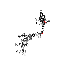 CC(=O)N[C@@H](CCCCNC(C)C)C(=O)NCC(=O)N[C@@H](CCC(=O)O)C(=O)Nc1ccc(COC(=O)NC23CC(Cc4ccc([C@@H]5O[C@@H]6C[C@H]7[C@@H]8CCC9=CC(=O)C=C[C@]9(C)[C@H]8[C@@H](O)C[C@]7(C)[C@]6(C(=O)CO)O5)cc4)(C2)C3)cc1